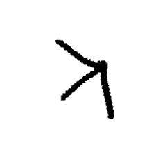 CCCCCCCCCCCCCCCCCCCCCCCCc1nc(C)nc(CCCCCCCCCCCCCCCCCCCCCCCC)c1CCCCCCCCCCCCCCCCCCCCCCCC